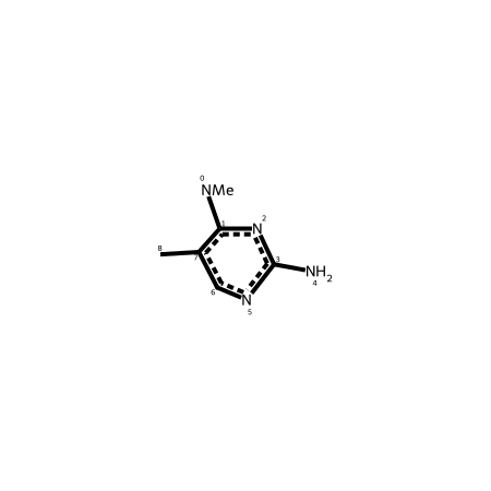 CNc1nc(N)ncc1C